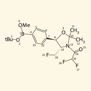 COB(OC(C)(C)C)c1ccc([C@H]2OC(C)(C)N(C(=O)C(F)F)[C@@H]2CF)cc1